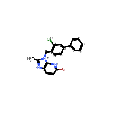 Cc1nc2ccc(Br)nc2n1Cc1ccc(-c2ccccc2)cc1Cl